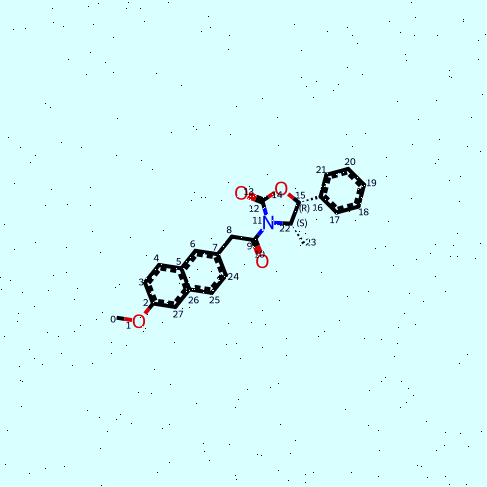 COc1ccc2cc(CC(=O)N3C(=O)O[C@H](c4ccccc4)[C@@H]3C)ccc2c1